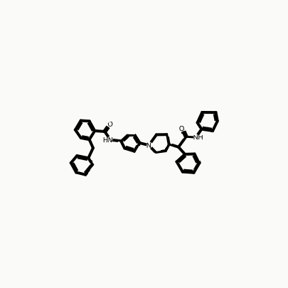 O=C(Nc1ccc(N2CCC(C(C(=O)Nc3ccccc3)c3ccccc3)CC2)cc1)c1ccccc1Cc1ccccc1